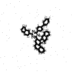 c1ccc(-c2ccc(-c3nc(-c4ccc5ccccc5c4)nc(-c4cc5ccc6ccccc6c5c5sc6cc7ccccc7cc6c45)n3)cc2)cc1